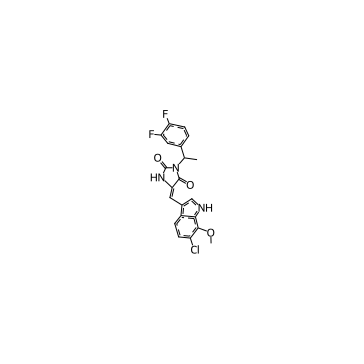 COc1c(Cl)ccc2c(C=C3NC(=O)N(C(C)c4ccc(F)c(F)c4)C3=O)c[nH]c12